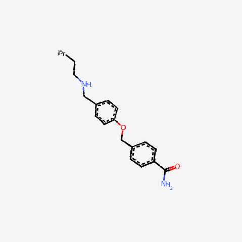 CC(C)CCNCc1ccc(OCc2ccc(C(N)=O)cc2)cc1